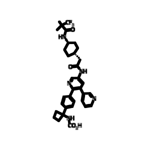 CC(C)(C(=O)N[C@H]1CC[C@H](CC(=O)Nc2cnc(-c3ccc(C4(NC(=O)O)CCC4)cc3)c(-c3cccnc3)c2)CC1)C(F)(F)F